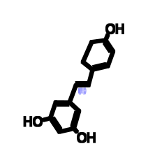 OC1=CC=C(/C=C/c2cc(O)cc(O)c2)CC1